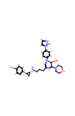 OC1C(N2CCOCC2)=NC(CCCN[C@@H]2C[C@H]2c2ccc(F)cc2)=CN1c1ccc(-n2ccnn2)cc1